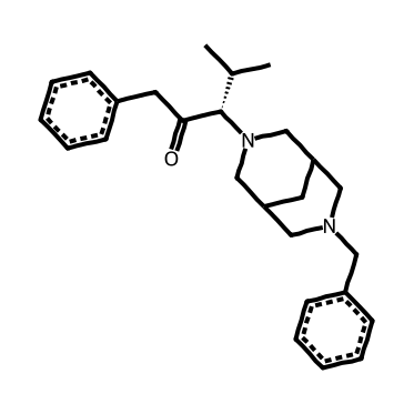 CC(C)[C@@H](C(=O)Cc1ccccc1)N1CC2CC(CN(Cc3ccccc3)C2)C1